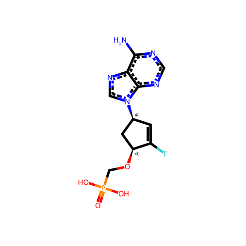 Nc1ncnc2c1ncn2[C@H]1C=C(F)[C@@H](OCP(=O)(O)O)C1